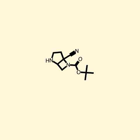 CC(C)(C)OC(=O)N1CC2NCCC21C#N